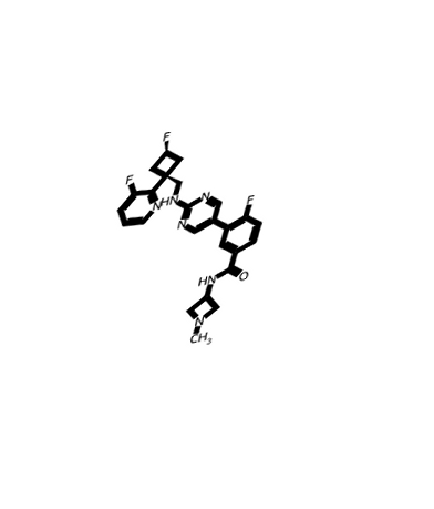 CN1CC(NC(=O)c2ccc(F)c(-c3cnc(NC[C@]4(c5ncccc5F)C[C@H](F)C4)nc3)c2)C1